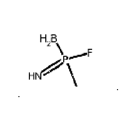 BP(C)(=N)F